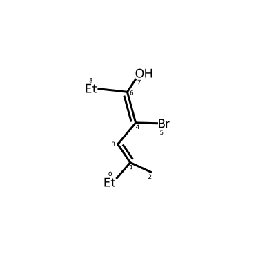 CCC(C)=C/C(Br)=C(/O)CC